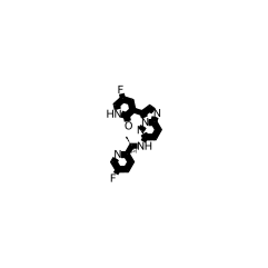 C[C@H](Nc1ccc2ncc(-c3cc(F)c[nH]c3=O)n2n1)c1ccc(F)cn1